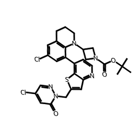 CC(C)(C)OC(=O)N1CC(N2CCCc3cc(Cl)cc(-c4ccnc5cc(Cn6ncc(Cl)cc6=O)sc45)c32)C1